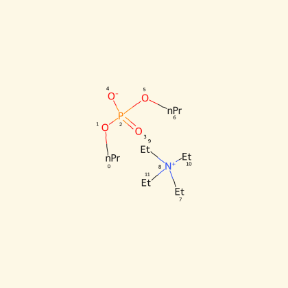 CCCOP(=O)([O-])OCCC.CC[N+](CC)(CC)CC